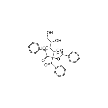 O=C(O[C@](C(=O)C(=O)c1ccccc1)(C(=O)c1ccccc1)C(O)C(O)C(O)CO)c1ccccc1